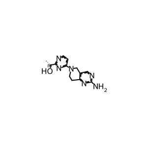 C[C@@H](O)c1nccc(N2CCc3nc(N)ncc3C2)n1